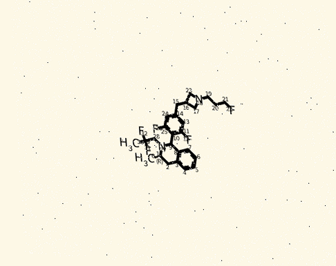 C[C@@H]1Cc2ccccc2C(c2c(F)cc(CC3CN(CCCF)C3)cc2F)N1CC(C)(F)F